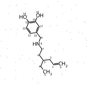 C=CCC(CC)CCNCc1ccc(O)c(O)c1